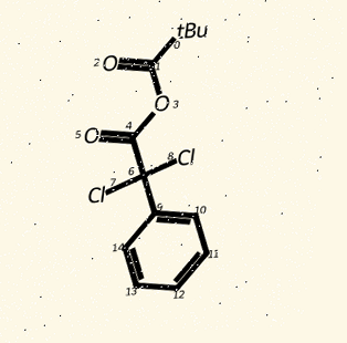 CC(C)(C)C(=O)OC(=O)C(Cl)(Cl)c1ccccc1